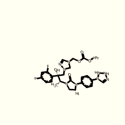 CCCOC(=O)OCN1C=NN(C[C@](O)(c2ccc(F)cc2F)[C@@H](C)N2CCN(c3ccc(N4C=NNN4)cc3)C2=O)C1.I